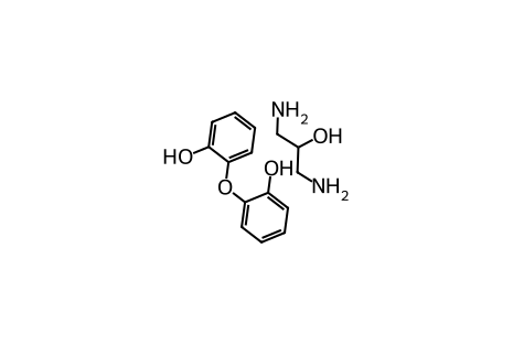 NCC(O)CN.Oc1ccccc1Oc1ccccc1O